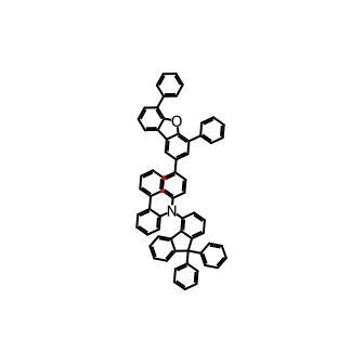 c1ccc(-c2ccccc2N(c2ccc(-c3cc(-c4ccccc4)c4oc5c(-c6ccccc6)cccc5c4c3)cc2)c2cccc3c2-c2ccccc2C3(c2ccccc2)c2ccccc2)cc1